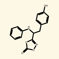 O=c1onc(C(Cc2ccc(O)cc2)Nc2ccccc2)o1